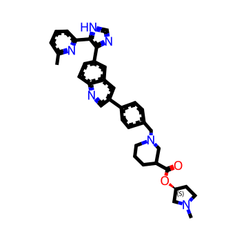 Cc1cccc(-c2[nH]cnc2-c2ccc3ncc(-c4ccc(CN5CCCC(C(=O)O[C@H]6CCN(C)C6)C5)cc4)cc3c2)n1